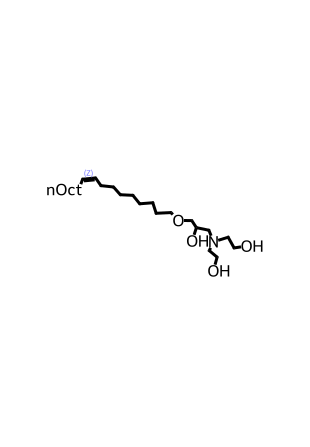 CCCCCCCC/C=C\CCCCCCCCOCC(O)CN(CCO)CCO